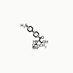 C[C@@H](O)[C@@H](NC(=O)OC(C)(C)C)C(=O)N1CCN(C2CCN(C)CC2)CC1